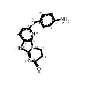 Nc1ccc(Oc2ccc3c(n2)N2CCC(=O)N=C2N3)cc1